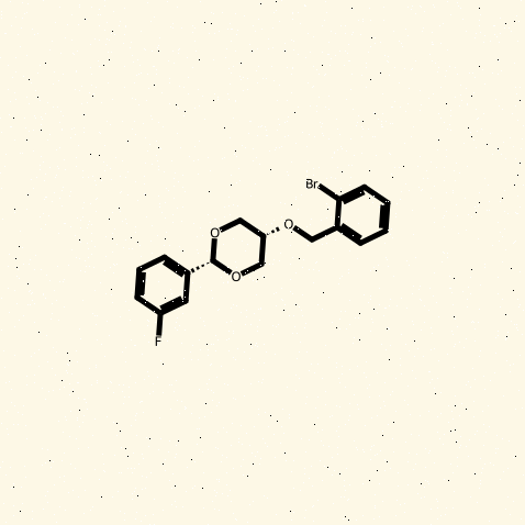 Fc1cccc([C@H]2OC[C@@H](OCc3ccccc3Br)CO2)c1